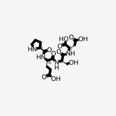 O=C(O)CC[C@H](NC(=O)[C@@H]1CCCN1)C(=O)N[C@@H](CO)C(=O)N[C@@H](CC(=O)O)C(=O)O